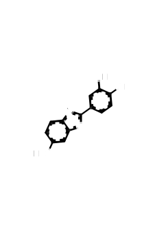 Cc1ccc2nc(-c3ccc(C)c(C)c3)oc2c1